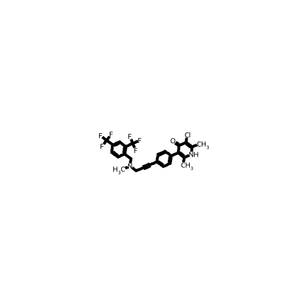 Cc1[nH]c(C)c(-c2ccc(C#CCN(C)Cc3ccc(C(F)(F)F)cc3C(F)(F)F)cc2)c(=O)c1Cl